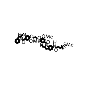 COc1cc2c(cc1OCCCOc1cc3c(cc1OC)C(=O)N1c4ccccc4C[C@H]1C=N3)N=CC1Cc3ccc(NC(=O)CCC(C)(C)SSC)cc3N1C2=O